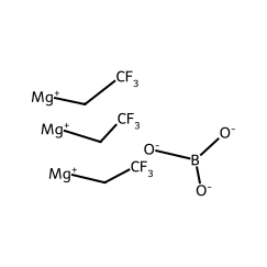 FC(F)(F)[CH2][Mg+].FC(F)(F)[CH2][Mg+].FC(F)(F)[CH2][Mg+].[O-]B([O-])[O-]